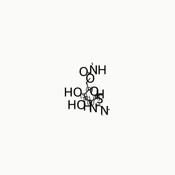 CNC(=O)OC[C@H]1O[C@@H]2SC(N(C)C)=N[C@@H]2[C@@H](O)[C@@H]1O